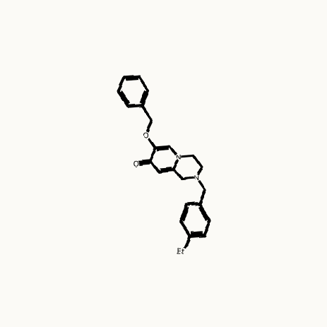 CCc1ccc(CN2CCn3cc(OCc4ccccc4)c(=O)cc3C2)cc1